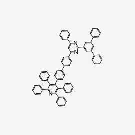 c1ccc(-c2cc(-c3ccccc3)cc(-c3nc(-c4ccccc4)cc(-c4ccc(-c5ccc(-c6c(-c7ccccc7)c(-c7ccccc7)nc(-c7ccccc7)c6-c6ccccc6)cc5)cc4)n3)c2)cc1